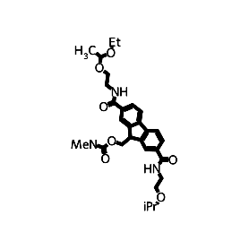 CCOC(C)OCCNC(=O)c1ccc2c(c1)C(COC(=O)NC)c1cc(C(=O)NCCOC(C)C)ccc1-2